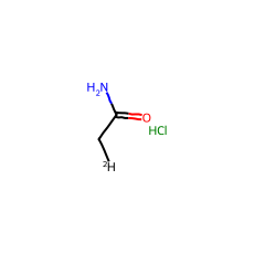 Cl.[2H]CC(N)=O